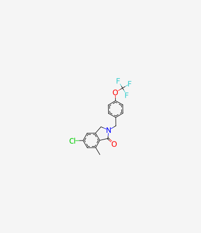 Cc1cc(Cl)cc2c1C(=O)N(Cc1ccc(OC(F)(F)F)cc1)C2